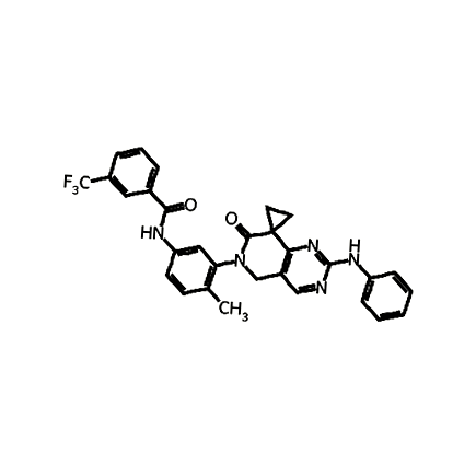 Cc1ccc(NC(=O)c2cccc(C(F)(F)F)c2)cc1N1Cc2cnc(Nc3ccccc3)nc2C2(CC2)C1=O